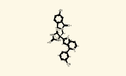 CCc1ccc2c(c1)C(=O)N(C[C@@]1(c3cc4c(-c5cccc(C#N)c5)nccc4o3)NC(=O)NC1=O)C2